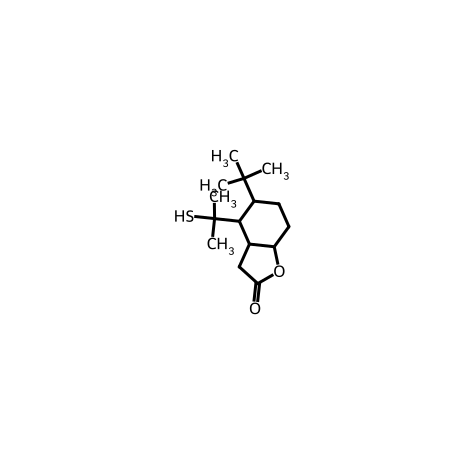 CC(C)(C)C1CCC2OC(=O)CC2C1C(C)(C)S